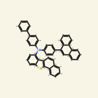 c1ccc(-c2ccc(N(c3ccc(-c4cc5ccccc5c5ccccc45)cc3)c3cccc4sc5c6ccccc6ccc5c34)cc2)cc1